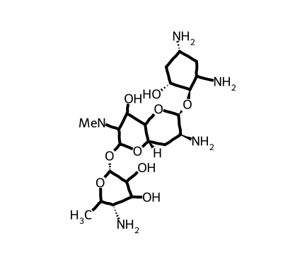 CNC1C(O[C@H]2OC(C)[C@@H](N)C(O)C2O)O[C@H]2C[C@H](N)[C@@H](O[C@@H]3C(N)C[C@@H](N)C[C@H]3O)OC2C1O